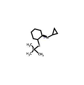 C[Si](C)(C)SC1CCCC/C1=N\C1CC1